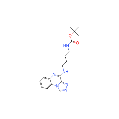 CC(C)(C)OC(=O)NCCCCNc1nc2ccccc2n2cnnc12